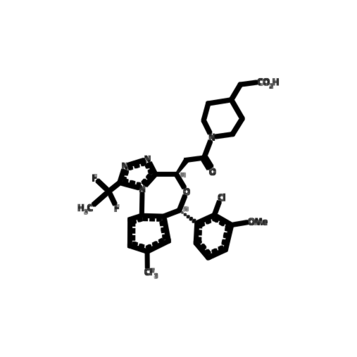 COc1cccc([C@H]2O[C@H](CC(=O)N3CCC(CC(=O)O)CC3)c3nnc(C(C)(F)F)n3-c3ccc(C(F)(F)F)cc32)c1Cl